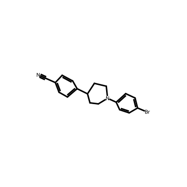 N#Cc1ccc(C2CCN(c3ccc(Br)cc3)CC2)cc1